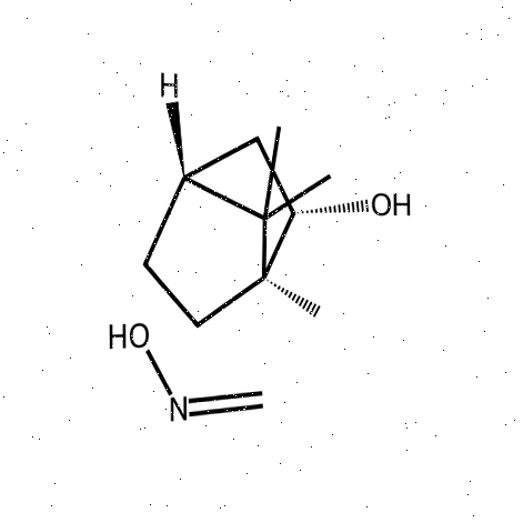 C=NO.CC1(C)[C@@H]2CC[C@]1(C)[C@@H](O)C2